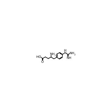 N=C(N)Nc1ccc(CC(N)CCC(=O)O)cc1